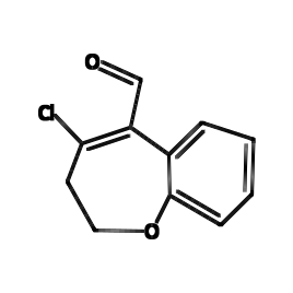 O=CC1=C(Cl)CCOc2ccccc21